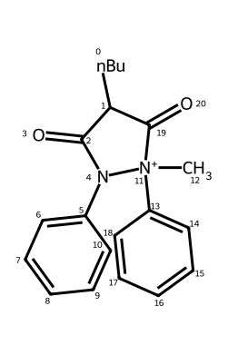 CCCCC1C(=O)N(c2ccccc2)[N+](C)(c2ccccc2)C1=O